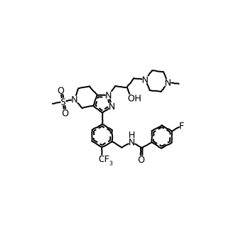 CN1CCN(CC(O)Cn2nc(-c3ccc(C(F)(F)F)c(CNC(=O)c4ccc(F)cc4)c3)c3c2CCN(S(C)(=O)=O)C3)CC1